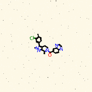 Cc1ccc(-c2c3c(nn2C)C(C)N(C(=O)c2ccc4nccnc4c2)CC3)cc1Cl